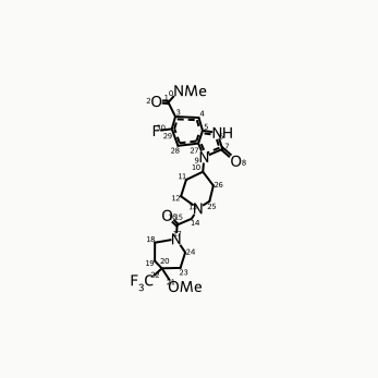 CNC(=O)c1cc2[nH]c(=O)n(C3CCN(CC(=O)N4CCC(OC)(C(F)(F)F)CC4)CC3)c2cc1F